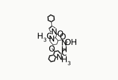 Cc1cc(OC2CC(C(=O)NO)C(C(=O)N3CC=C(c4ccccc4)C3)N(C)C2)c2ccccc2n1